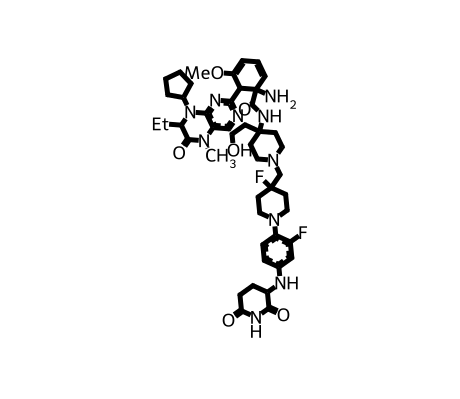 CCC1C(=O)N(C)c2cnc(C3C(OC)=CC=CC3(N)C(=O)NC3(CCO)CCN(CC4(F)CCN(c5ccc(NC6CCC(=O)NC6=O)cc5F)CC4)CC3)nc2N1C1CCCC1